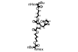 CCCCCCC(CCCC)C(=O)OCCCCOC(=O)CCN(CCC(=O)OCCCCOC(=O)C(CCCC)CCCCCC)Cc1nccn1C